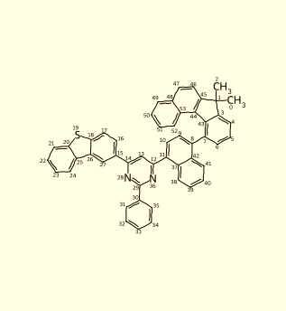 CC1(C)c2cccc(-c3ccc(-c4cc(-c5ccc6sc7ccccc7c6c5)nc(-c5ccccc5)n4)c4ccccc34)c2-c2c1ccc1ccccc21